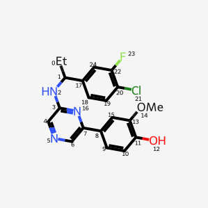 CCC(Nc1cncc(-c2ccc(O)c(OC)c2)n1)c1ccc(Cl)c(F)c1